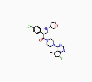 C[C@@H]1C[C@H](F)c2ncnc(N3CCN(C(=O)[C@H](CN[C@@H]4CCOC4)c4ccc(Cl)cc4)CC3)c21